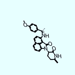 C=C1CCC(N2C(=O)c3c(N[C@@H](C)c4ccc(OC)cc4)ccc4cccc2c34)C(=O)N1